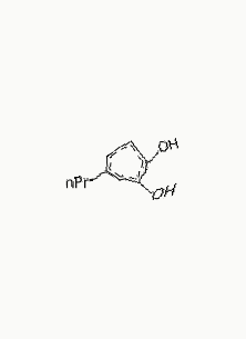 [CH2]CCc1ccc(O)c(O)c1